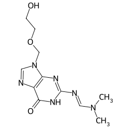 CN(C)C=Nc1nc2c(ncn2COCCO)c(=O)[nH]1